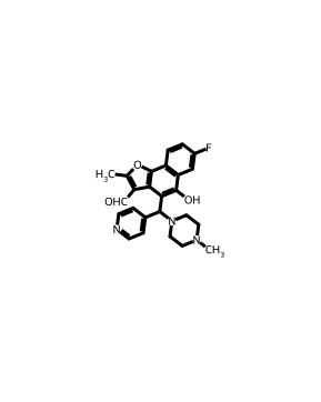 Cc1oc2c(c1C=O)c(C(c1ccncc1)N1CCN(C)CC1)c(O)c1cc(F)ccc12